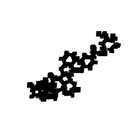 COc1c(CN2O[C@@H](CO)[C@H]([C@H](C)O)[C@H]2C(=O)N[C@H]2C[C@H]3C[C@@H]([C@@H]2C)C3(C)C)cccc1-c1cccc(C(=O)N[C@@H](CC(C)C)CN(C)C)c1